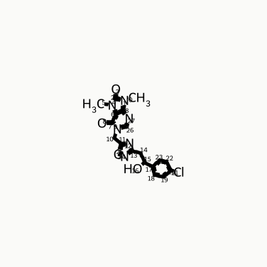 Cn1c(=O)n(C)c2c(=O)n(Cc3nc(CC(O)c4ccc(Cl)cc4)no3)cnc21